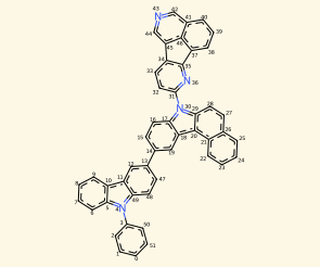 c1ccc(-n2c3ccccc3c3cc(-c4ccc5c(c4)c4c6ccccc6ccc4n5-c4ccc5c(n4)-c4cccc6cncc-5c46)ccc32)cc1